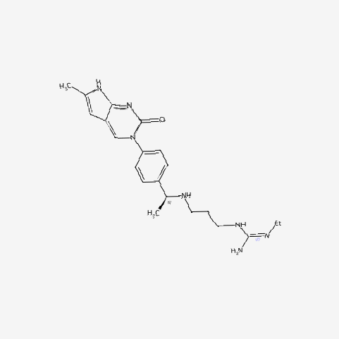 CC/N=C(/N)NCCCN[C@@H](C)c1ccc(-n2cc3cc(C)[nH]c3nc2=O)cc1